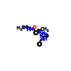 Cc1cc2c(C(=O)NCC3CN(C)C3)cccc2n1-c1nc(NCc2ccccc2)c2cccn2n1